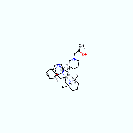 C=C(O)CN1CCC[C@H](c2nc3ccccc3n2[C@H]2C[C@H]3CCC[C@@H](C2)N3[C@H]2C[C@@H]3CCC[C@@H](C3)C2)C1